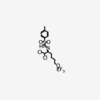 Cc1ccc(S(=O)(=O)NN=C(CCCCOC(F)(F)F)C(Cl)Cl)cc1